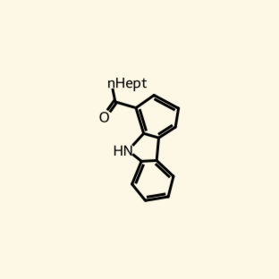 CCCCCCCC(=O)c1cccc2c1[nH]c1ccccc12